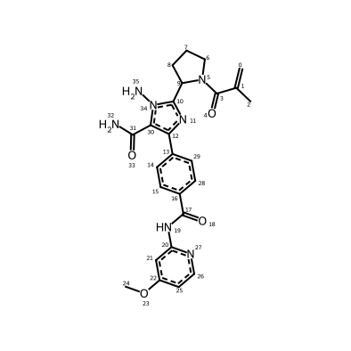 C=C(C)C(=O)N1CCCC1c1nc(-c2ccc(C(=O)Nc3cc(OC)ccn3)cc2)c(C(N)=O)n1N